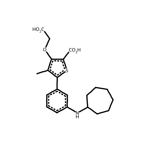 Cc1c(-c2cccc(NC3CCCCCC3)c2)sc(C(=O)O)c1OCC(=O)O